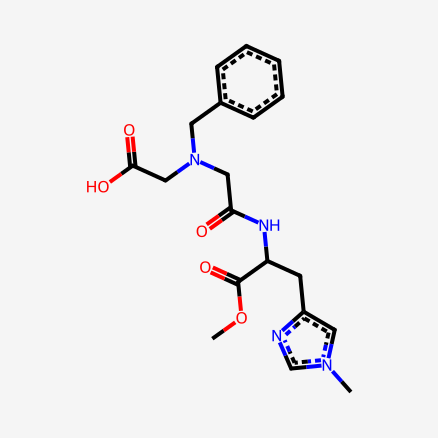 COC(=O)C(Cc1cn(C)cn1)NC(=O)CN(CC(=O)O)Cc1ccccc1